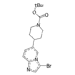 CC(C)(C)OC(=O)N1CCC(c2ccc3ncc(Br)n3c2)CC1